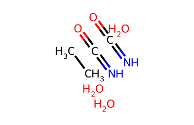 CC.N=C=O.N=C=O.O.O.O